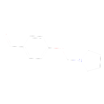 O=[C]c1ccc(OCN2CCCC2)cc1